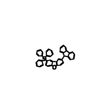 c1ccc([Si](c2ccccc2)(c2ccccc2)c2ccc3oc4ccc(C5c6ccccc6-c6ccccc65)cc4c3c2)cc1